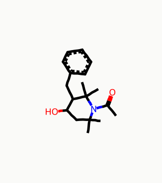 CC(=O)N1C(C)(C)CC(O)C(Cc2ccccc2)C1(C)C